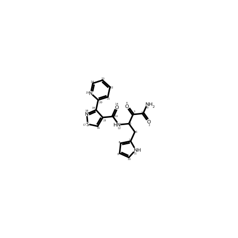 NC(=O)C(=O)C(Cc1ccc[nH]1)NC(=O)c1csnc1-c1ccccn1